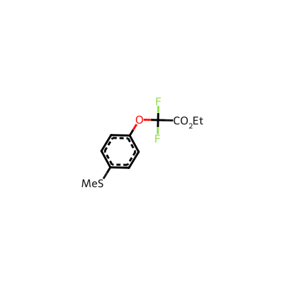 CCOC(=O)C(F)(F)Oc1ccc(SC)cc1